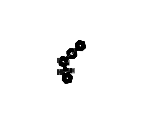 c1ccc(N2CCN(c3cncc(C4Nc5ccccc5N4)n3)CC2)cc1